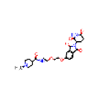 C=[N+]1CCC(C(=O)NCCOCCOc2ccc3c(c2)C(=O)N(C2CCC(=O)NC2=O)C3=O)CC1